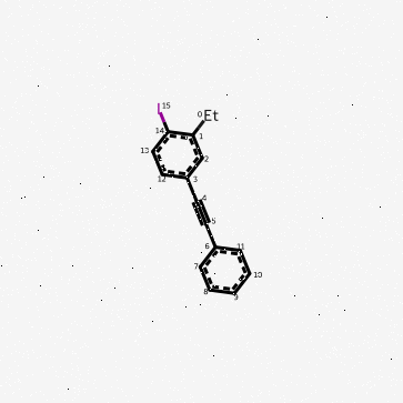 CCc1cc(C#Cc2ccccc2)ccc1I